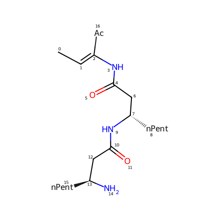 CC=C(NC(=O)C[C@H](CCCCC)NC(=O)C[C@@H](N)CCCCC)C(C)=O